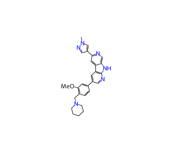 COc1cc(-c2cnc3[nH]c4cnc(-c5cnn(C)c5)cc4c3c2)ccc1CN1CCCCC1